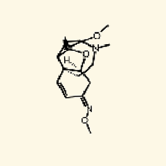 CO/N=C1\C=C[C@@]23CCN(C)Cc4ccc(OC)c(c42)O[C@H]3C1